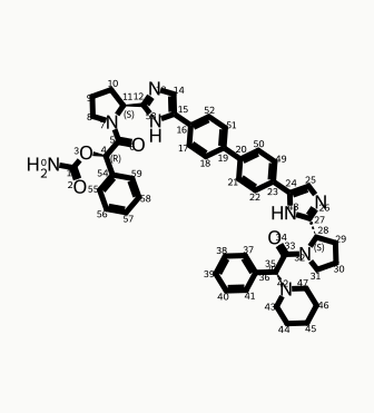 NC(=O)O[C@@H](C(=O)N1CCC[C@H]1c1ncc(-c2ccc(-c3ccc(-c4cnc([C@@H]5CCCN5C(=O)[C@@H](c5ccccc5)N5CCCCC5)[nH]4)cc3)cc2)[nH]1)c1ccccc1